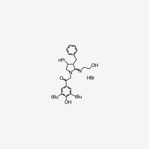 Br.CCCC1CN(CC(=O)c2cc(C(C)(C)C)c(O)c(C(C)(C)C)c2)/C(=N/CCO)C1Cc1ccccc1